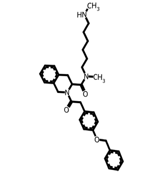 CNCCCCCCN(C)C(=O)C1Cc2ccccc2CN1C(=O)Cc1ccc(OCc2ccccc2)cc1